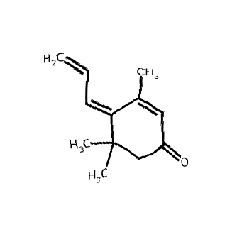 C=CC=C1C(C)=CC(=O)CC1(C)C